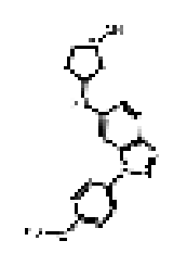 COc1ccc(-n2nnc3cnc(NC4CC[C@@H](O)C4)nc32)cc1